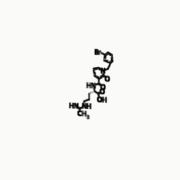 CC(=N)NCCC[C@H](NC(=O)c1cccn(Cc2cccc(Br)c2)c1=O)C(=O)O